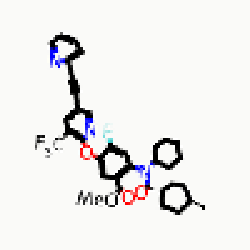 COC(=O)c1cc(Oc2ncc(C#Cc3ccccn3)cc2C(F)(F)F)c(F)cc1N(C(=O)[C@H]1CC[C@H](C)CC1)C1CCCCC1